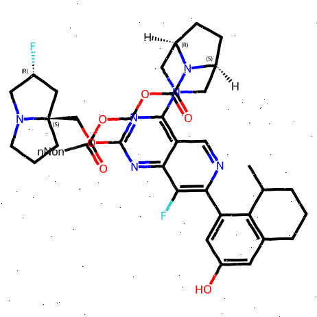 CCCCCCCCCC(=O)OCOC(=O)N1[C@@H]2CC[C@H]1CN(c1nc(OC[C@@]34CCCN3C[C@H](F)C4)nc3c(F)c(-c4cc(O)cc5c4C(C)CCC5)ncc13)C2